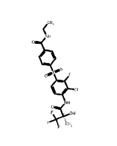 CCNC(=O)c1ccc(S(=O)(=O)c2ccc(NC(=O)[C@@](C)(O)C(F)(F)F)c(Cl)c2F)cc1